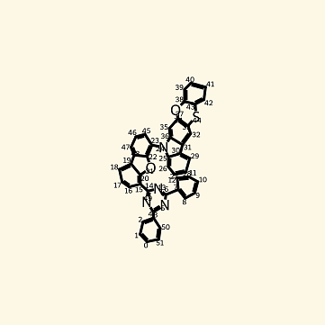 c1ccc(-c2nc(-c3ccccc3)nc(-c3cccc4c3oc3c(-n5c6ccccc6c6cc7c(cc65)Oc5ccccc5S7)cccc34)n2)cc1